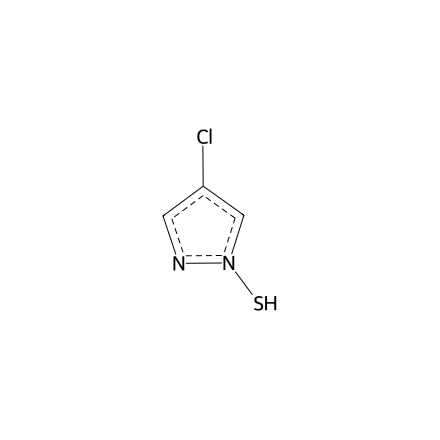 Sn1cc(Cl)cn1